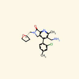 Cc1ccc(-c2c(CN)c(C)nc3c2CN(C[C@@H]2CCCO2)C3=O)c(Cl)c1